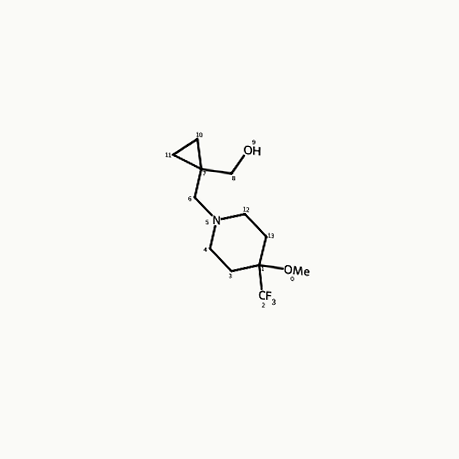 COC1(C(F)(F)F)CCN(CC2(CO)CC2)CC1